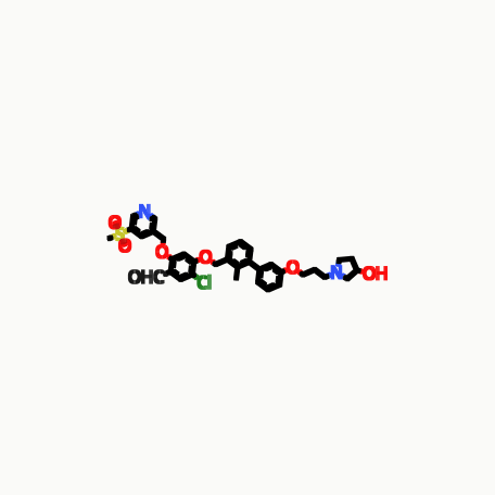 Cc1c(COc2cc(OCc3cncc(S(C)(=O)=O)c3)c(C=O)cc2Cl)cccc1-c1cccc(OCCCN2CCC(O)C2)c1